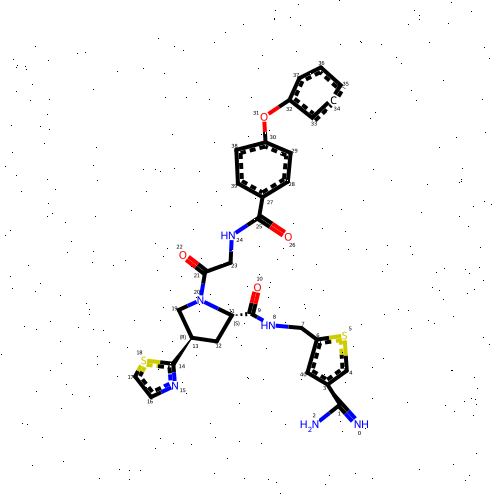 N=C(N)c1csc(CNC(=O)[C@@H]2C[C@@H](c3nccs3)CN2C(=O)CNC(=O)c2ccc(Oc3ccccc3)cc2)c1